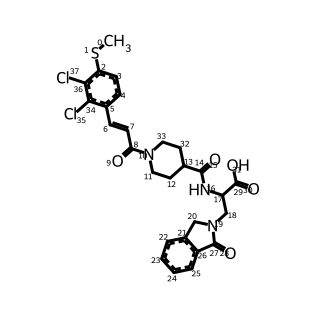 CSc1ccc(C=CC(=O)N2CCC(C(=O)NC(CN3Cc4ccccc4C3=O)C(=O)O)CC2)c(Cl)c1Cl